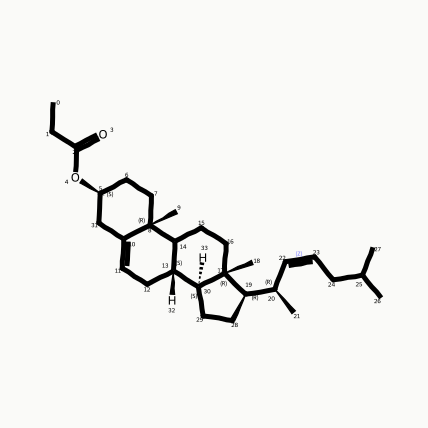 CCC(=O)O[C@H]1CC[C@@]2(C)C(=CC[C@@H]3C2CC[C@]2(C)[C@@H]([C@H](C)/C=C\CC(C)C)CC[C@@H]32)C1